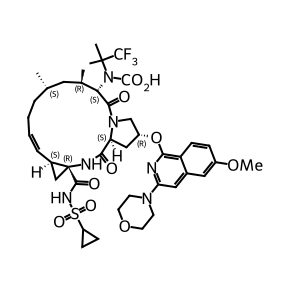 COc1ccc2c(O[C@@H]3C[C@H]4C(=O)N[C@]5(C(=O)NS(=O)(=O)C6CC6)C[C@H]5C=CCC[C@H](C)C[C@@H](C)[C@H](N(C(=O)O)C(C)(C)C(F)(F)F)C(=O)N4C3)nc(N3CCOCC3)cc2c1